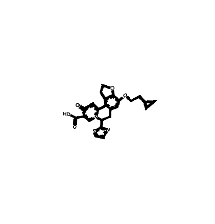 O=C(O)c1cn2c(cc1=O)-c1c(cc(OCCC3CC3)c3c1CCO3)CC2c1nccs1